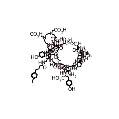 C[C@@H]1NC(=O)[C@@H]2CCCN2C(=O)[C@H](CC(N)=O)NC(=O)[C@@H]2CSSC[C@H](NC(=O)[C@H](CCCNC(=O)CCCc3ccc(I)cc3)NC(=O)CN3CCN(CC(=O)O)CCN(CC(=O)O)CCN(CC(=O)O)CC3)C(=O)N[C@H]3CSSC[C@H](NC1=O)C(=O)N[C@@H]([C@@H](C)O)C(=O)NCC(=O)N[C@H](C(=O)N[C@@H](Cc1ccc(O)cc1)C(=O)O)CSSC[C@H](NC(=O)[C@H](Cc1ccc(O)cc1)NC(=O)[C@H](CCC(=O)O)NC3=O)C(=O)N2